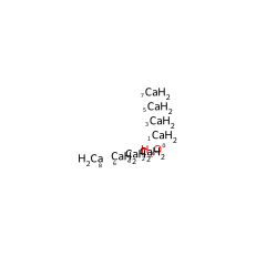 O.[CaH2].[CaH2].[CaH2].[CaH2].[CaH2].[CaH2].[CaH2].[CaH2]